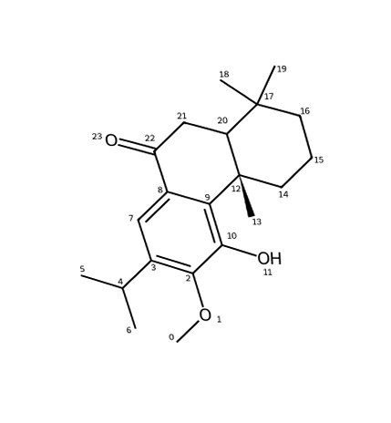 COc1c(C(C)C)cc2c(c1O)[C@@]1(C)CCCC(C)(C)C1CC2=O